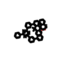 CC1(C)c2ccccc2C2(c3ccccc3Sc3ccccc32)c2cccc(-c3cccc(-c4nc(-c5ccccc5)nc(-c5cccc(-c6ccccc6)c5)n4)c3)c21